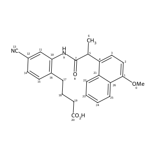 COc1ccc(C(C)C(=O)Nc2cc(C#N)ccc2CCCC(=O)O)c2ccccc12